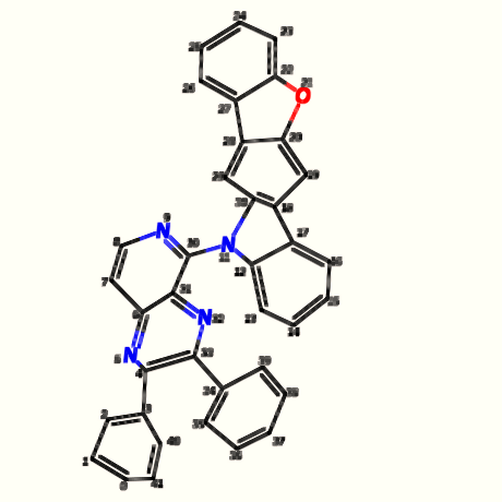 c1ccc(-c2nc3ccnc(-n4c5ccccc5c5cc6oc7ccccc7c6cc54)c3nc2-c2ccccc2)cc1